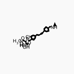 CNC(=O)C(C(=O)NO)N(C)C(=O)c1ccc(/C=C/C#Cc2ccc(CNC3CC3)cc2)cc1